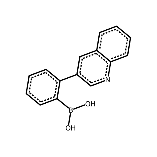 OB(O)c1ccccc1-c1cnc2ccccc2c1